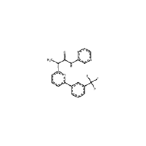 CC(C(=O)Nc1cnccn1)c1cccc(-c2cccc(C(F)(F)F)c2)n1